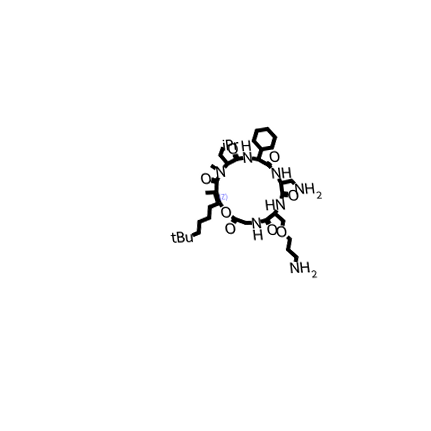 C/C1=C(\CCCCC(C)(C)C)OC(=O)CNC(=O)C(COCCCN)NC(=O)C(CN)NC(=O)C(C2CCCCC2)NC(=O)C(CC(C)C)N(C)C1=O